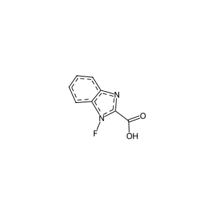 O=C(O)c1nc2ccccc2n1F